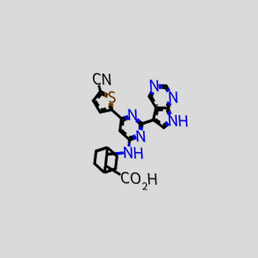 N#Cc1ccc(-c2cc(NC3C4CCC(CC4)C3C(=O)O)nc(-c3c[nH]c4ncncc34)n2)s1